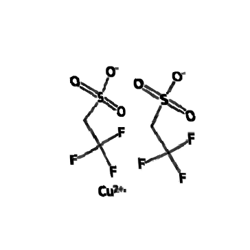 O=S(=O)([O-])CC(F)(F)F.O=S(=O)([O-])CC(F)(F)F.[Cu+2]